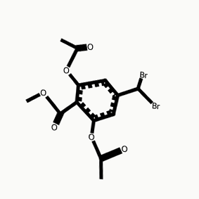 COC(=O)c1c(OC(C)=O)cc(C(Br)Br)cc1OC(C)=O